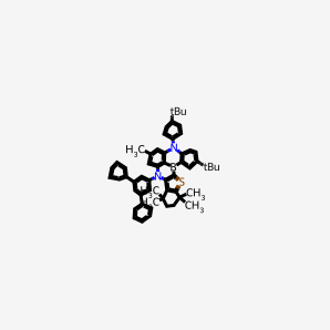 Cc1cc2c3c(c1)N(c1cc(-c4ccccc4)cc(-c4ccccc4)c1)c1c(sc4c1C(C)(C)CCC4(C)C)B3c1cc(C(C)(C)C)ccc1N2c1ccc(C(C)(C)C)cc1